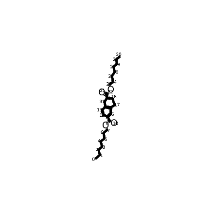 CCCCCCCCOC(=O)c1ccc2c(c1)CCC(C(=O)OCCCCCCCC)C2